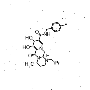 CC(C)CN1CC[C@H](C)N2C(=O)C3=C(O)C(O)C(C(=O)NCc4ccc(F)cc4)=CN3C[C@@H]12